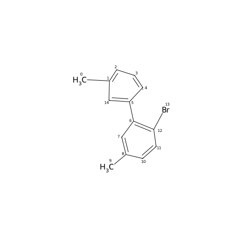 Cc1cc[c]c(-c2cc(C)ccc2Br)c1